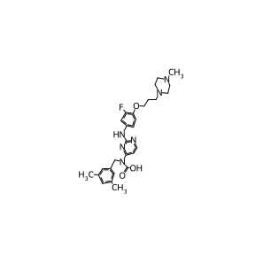 Cc1cc(C)cc(CN(C(=O)O)c2ccnc(Nc3ccc(OCCCN4CCN(C)CC4)c(F)c3)n2)c1